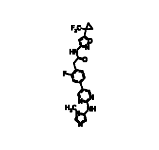 Cn1cncc1Nc1ncc(-c2ccc(CC(=O)Nc3cc(C4(C(F)(F)F)CC4)on3)c(F)c2)cn1